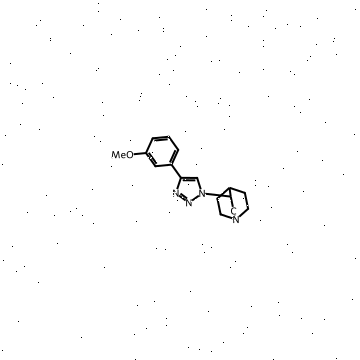 COc1cccc(-c2cn(C3CN4CCC3CC4)nn2)c1